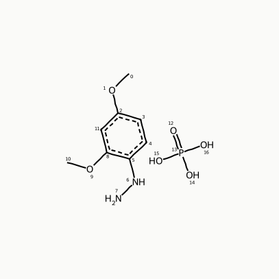 COc1ccc(NN)c(OC)c1.O=P(O)(O)O